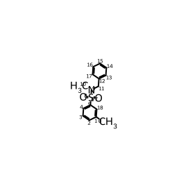 Cc1cccc(S(=O)(=O)N(C)Cc2ccccc2)c1